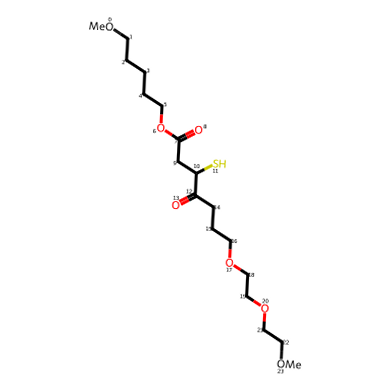 COCCCCCOC(=O)CC(S)C(=O)CCCOCCOCCOC